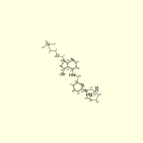 C[Si](C)(C)CCOCn1cc(Br)c2c(NCc3cccc(N4CC5CC[C@@H](C4)N5)n3)ccnc21